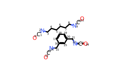 O=C=NCCCCCCN=C=O.O=C=NCc1cccc(CN=C=O)c1